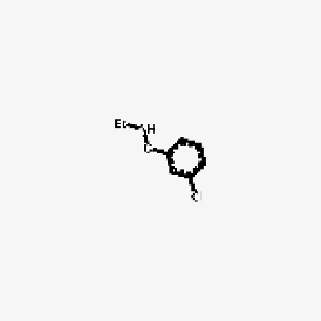 CCNOc1cccc(Cl)c1